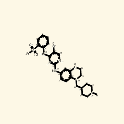 CC(C)S(=O)(=O)c1ccccc1Nc1nc(Nc2ccc3c(c2)OCCN3CC2CCN(C)CC2)ncc1Br